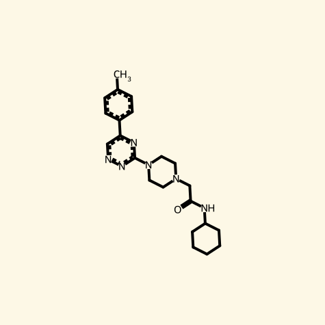 Cc1ccc(-c2cnnc(N3CCN(CC(=O)NC4CCCCC4)CC3)n2)cc1